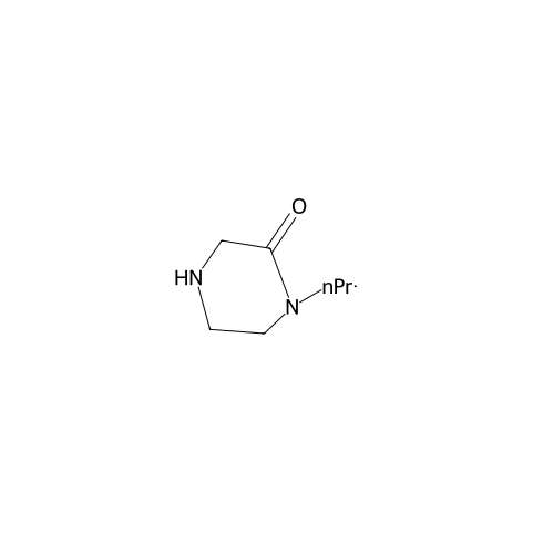 CC[CH]N1CCNCC1=O